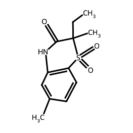 CCC1(C)C(=O)Nc2cc(C)ccc2S1(=O)=O